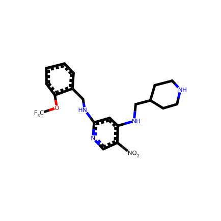 O=[N+]([O-])c1cnc(NCc2ccccc2OC(F)(F)F)cc1NCC1CCNCC1